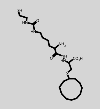 NC(CCCCNC(=O)NCCS)C(=O)NNC(CSC1CCCCCCCCCC1)C(=O)O